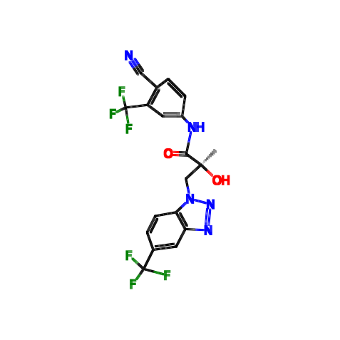 C[C@](O)(Cn1nnc2cc(C(F)(F)F)ccc21)C(=O)Nc1ccc(C#N)c(C(F)(F)F)c1